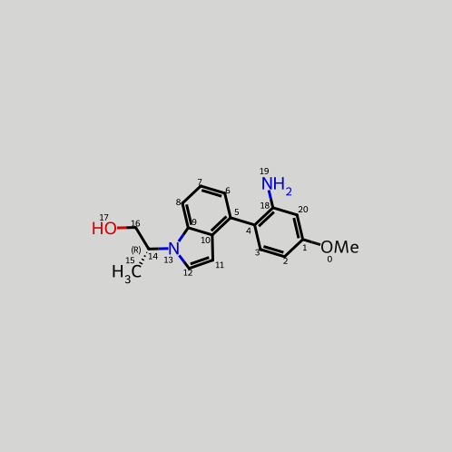 COc1ccc(-c2cccc3c2ccn3[C@H](C)CO)c(N)c1